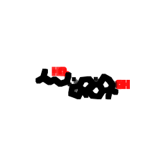 CC(C)=CCCC(CO)[C@H]1CC[C@@]2(C)C3=C(CC[C@]12C)[C@@]1(C)CC[C@H](O)C(C)(C)C1CC3